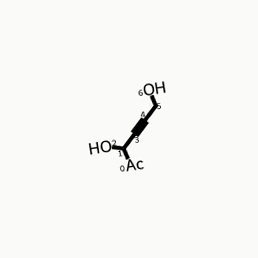 CC(=O)C(O)C#CCO